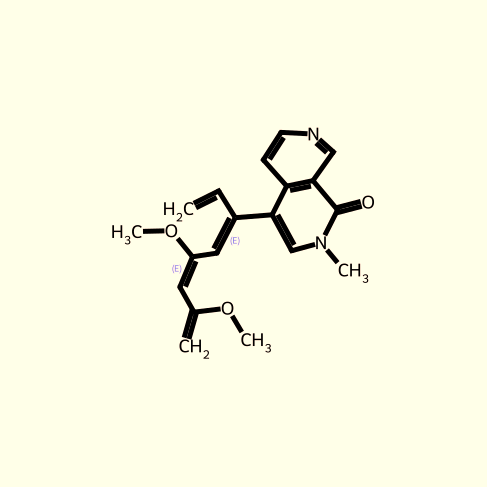 C=C/C(=C\C(=C/C(=C)OC)OC)c1cn(C)c(=O)c2cnccc12